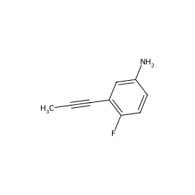 CC#Cc1cc(N)ccc1F